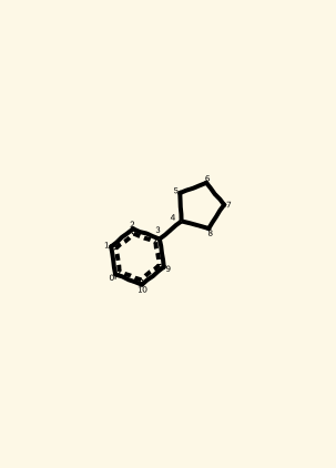 [c]1ccc(C2CCCC2)cc1